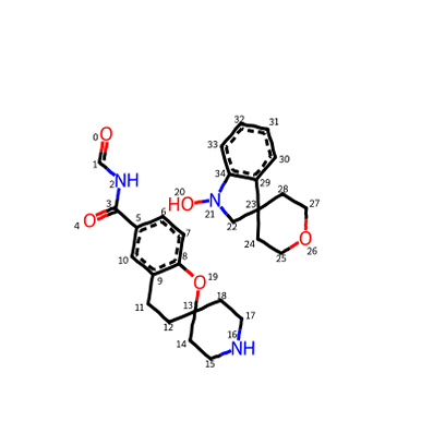 O=CNC(=O)c1ccc2c(c1)CCC1(CCNCC1)O2.ON1CC2(CCOCC2)c2ccccc21